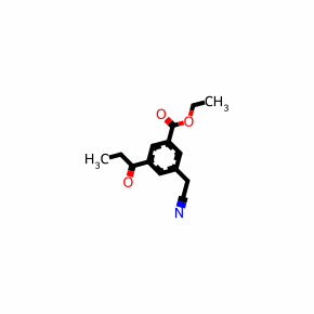 CCOC(=O)c1cc(CC#N)cc(C(=O)CC)c1